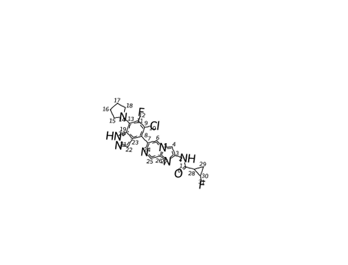 O=C(Nc1cn2cc(-c3c(Cl)c(F)c(N4CCCC4)c4[nH]ncc34)ncc2n1)C1CC1F